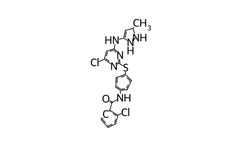 CC1C=C(Nc2cc(Cl)nc(Sc3ccc(NC(=O)c4ccccc4Cl)cc3)n2)NN1